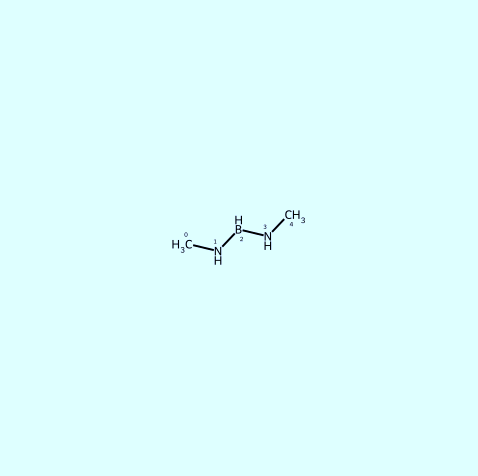 CNBNC